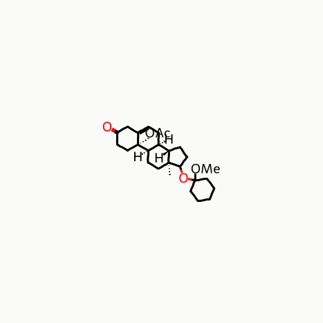 COC1(OC2CC[C@H]3[C@@H]4CC=C5CC(=O)CC[C@]5(COC(C)=O)[C@@H]4CC[C@]23C)CCCCC1